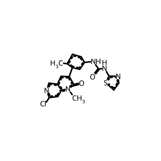 Cc1ccc(NC(=O)Nc2nccs2)cc1-c1cc2cnc(Cl)cc2n(C)c1=O